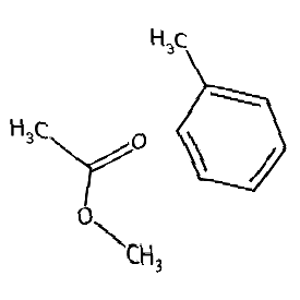 COC(C)=O.Cc1ccccc1